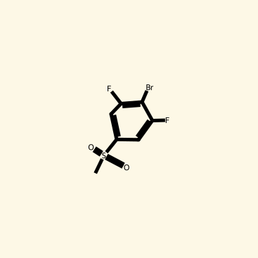 CS(=O)(=O)c1cc(F)c(Br)c(F)c1